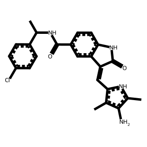 Cc1[nH]c(C=C2C(=O)Nc3ccc(C(=O)NC(C)c4ccc(Cl)cc4)cc32)c(C)c1N